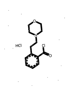 Cl.O=C(Cl)c1ccccc1CCN1CCOCC1